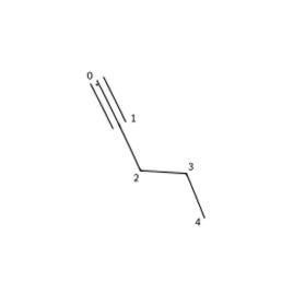 [C]#CCCC